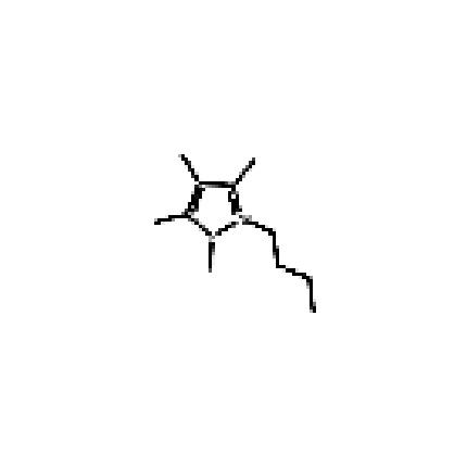 CCCC[n+]1c(C)c(C)c(C)n1C